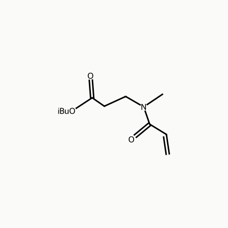 C=CC(=O)N(C)CCC(=O)OCC(C)C